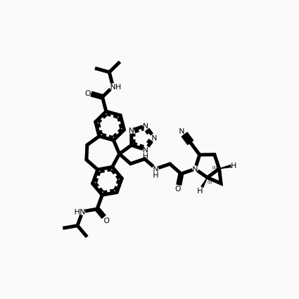 CC(C)NC(=O)c1ccc2c(c1)CCc1cc(C(=O)NC(C)C)ccc1C2(CCNCC(=O)N1C(C#N)C[C@@H]2C[C@@H]21)c1nnn[nH]1